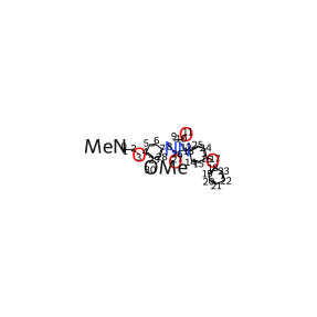 CNCCOc1ccc(N2CC(=O)N(c3ccc(Oc4ccccc4)cc3)C2=O)cc1OC